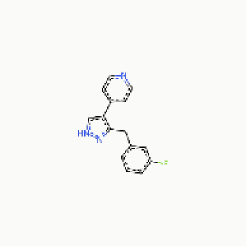 Fc1cccc(Cc2n[nH]cc2-c2ccncc2)c1